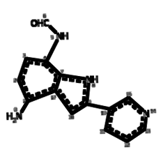 Nc1ccc(NC=O)c2[nH]c(-c3cccnc3)cc12